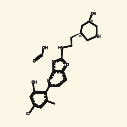 Cc1cc(Cl)cc(O)c1-c1ccc2oc(NCC[C@H]3CNC[C@H](O)C3)nc2n1.O=CO